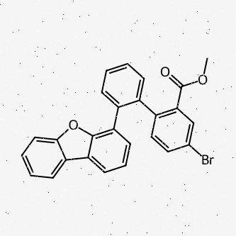 COC(=O)c1cc(Br)ccc1-c1ccccc1-c1cccc2c1oc1ccccc12